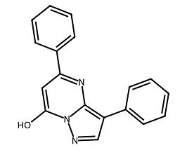 Oc1cc(-c2ccccc2)nc2c(-c3ccccc3)cnn12